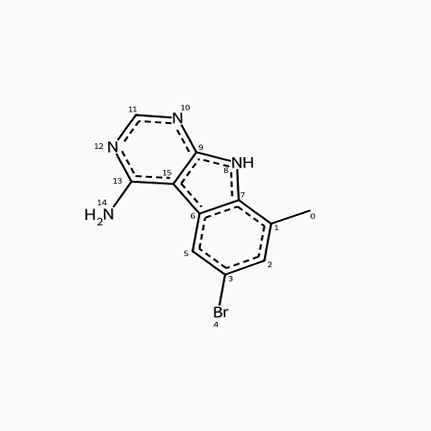 Cc1cc(Br)cc2c1[nH]c1ncnc(N)c12